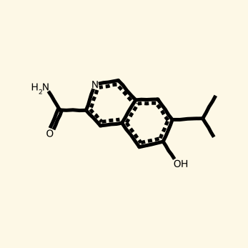 CC(C)c1cc2cnc(C(N)=O)cc2cc1O